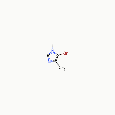 Cn1cnc(C(F)(F)F)c1Br